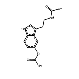 CC(C)C(=O)NCCc1c[nH]c2ccc(OC(=O)C(C)C)cc12